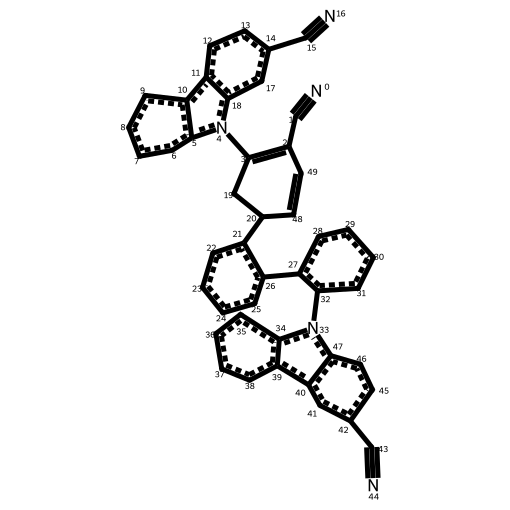 N#CC1=C(n2c3ccccc3c3ccc(C#N)cc32)CC(c2ccccc2-c2ccccc2-n2c3ccccc3c3cc(C#N)ccc32)C=C1